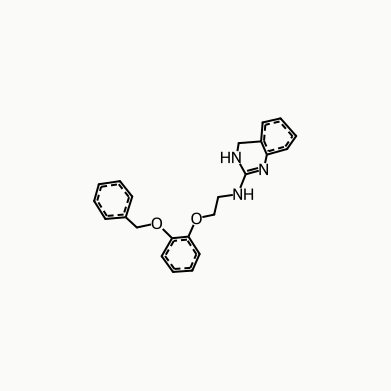 c1ccc(COc2ccccc2OCCNC2=Nc3ccccc3CN2)cc1